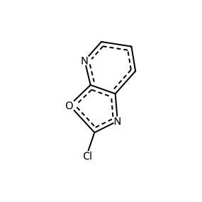 Clc1nc2cccnc2o1